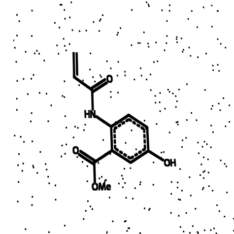 C=CC(=O)Nc1ccc(O)cc1C(=O)OC